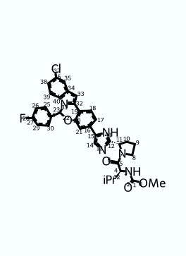 COC(=O)N[C@H](C(=O)N1CCC[C@H]1c1ncc(-c2ccc3c(c2)OC(c2ccc(F)cc2)n2c-3cc3cc(Cl)ccc32)[nH]1)C(C)C